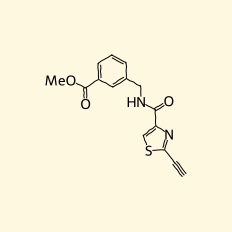 C#Cc1nc(C(=O)NCc2cccc(C(=O)OC)c2)cs1